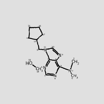 CN(C)c1ncnc2c1ncn2CC1CCCC1.CO